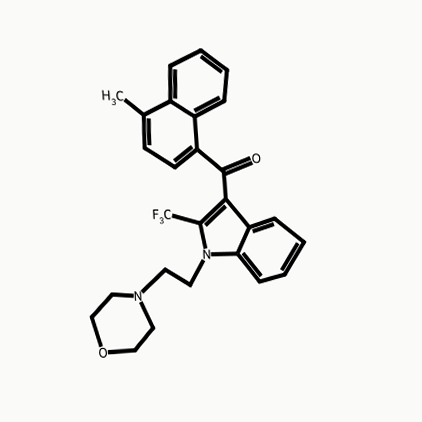 Cc1ccc(C(=O)c2c(C(F)(F)F)n(CCN3CCOCC3)c3ccccc23)c2ccccc12